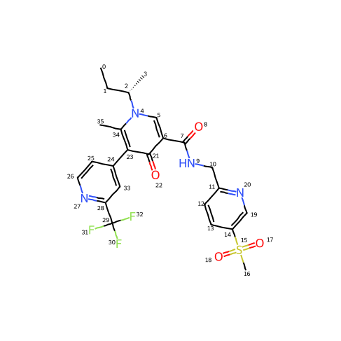 CC[C@H](C)n1cc(C(=O)NCc2ccc(S(C)(=O)=O)cn2)c(=O)c(-c2ccnc(C(F)(F)F)c2)c1C